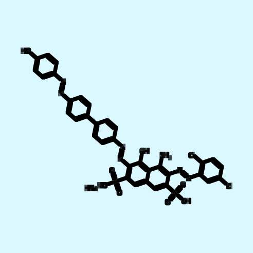 Nc1c(N=Nc2cc(Cl)ccc2Cl)c(S(=O)(=O)O)cc2cc(S(=O)(=O)O)c(N=Nc3ccc(-c4ccc(N=Nc5ccc(O)cc5)cc4)cc3)c(O)c12.[NaH]